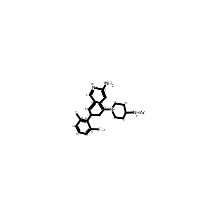 CC(=O)NC1CCN(C2=c3cc(N)ncc3=CC(c3c(C)cccc3F)C2)CC1